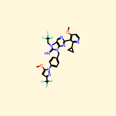 COc1ccnc(C2CC2)c1-c1ncc2c(n1)n(Cc1ccc(-n3nc(C(F)(F)F)cc3OC)cc1)c(=N)n2CC(F)(F)F